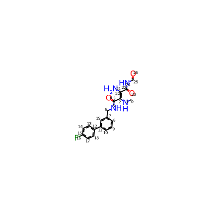 CN/C(C(=O)NCc1cccc(-c2ccc(F)cc2)c1)=C(/N)C(=O)NC=O